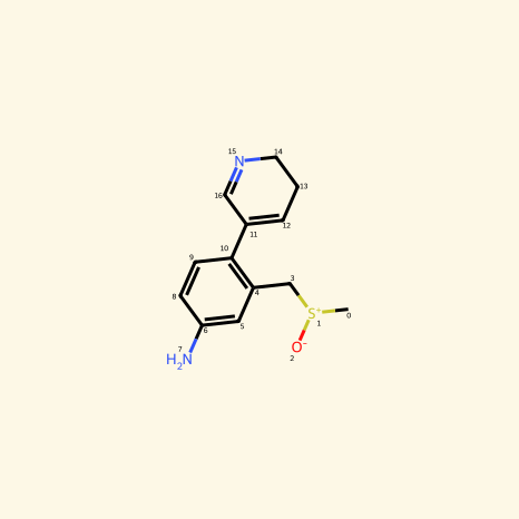 C[S+]([O-])Cc1cc(N)ccc1C1=CCCN=C1